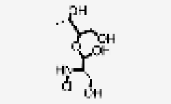 C[C@H](O)C(CO)OC(O)[C@H](CO)NCl